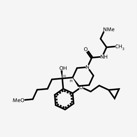 CNCC(C)NC(=O)N1CCC[C@@H]([C@@](O)(CCCCOC)c2ccccc2OCCC2CC2)C1